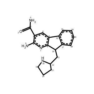 NC(=O)c1cc2c(nc1N)C(CC1CCCN1)c1ccccc1-2